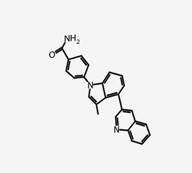 Cc1cn(-c2ccc(C(N)=O)cc2)c2cccc(-c3cnc4ccccc4c3)c12